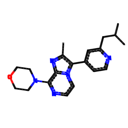 Cc1nc2c(N3CCOCC3)nccn2c1-c1ccnc(CC(C)C)c1